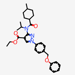 CCOC(=O)c1cn(-c2ccc(COc3ccccc3)cc2)nc1N(C(=O)C1CCC(C)CC1)C(C)C